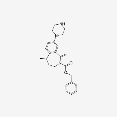 C=C1c2cc(N3CCNCC3)ccc2[C@H](C)CCN1C(=O)OCc1ccccc1